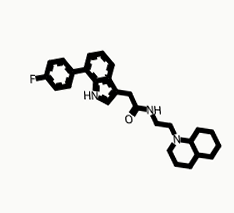 O=C(Cc1c[nH]c2c(-c3ccc(F)cc3)cccc12)NCCN1CCCC2CCCCC21